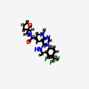 C[C@@H](Nc1ncnc2c1C=C(C(=O)N1CC3(CCCO3)C1)CN2C)c1cccc(C(F)F)c1F